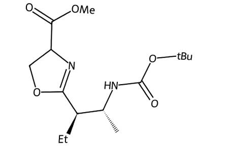 CC[C@@H](C1=NC(C(=O)OC)CO1)[C@@H](C)NC(=O)OC(C)(C)C